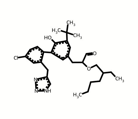 CCCCC(CC)COC(C=O)Cc1cc(-c2ccc(Cl)cc2Cc2c[nH]nn2)c(O)c(C(C)(C)C)c1